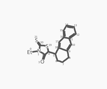 CCN1C(=O)C(C2CCCc3cc4ccccc4cc32)SC1=S